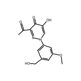 COc1cc(CO)cc(-n2cc(O)c(=O)c(C(C)=O)n2)c1